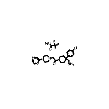 NCC1(c2ccc(Cl)cc2)CCN(C(=O)CN2CCN(c3cnccn3)CC2)CC1.O=C(O)C(F)(F)F